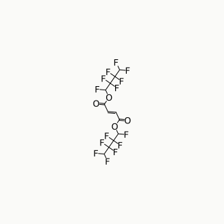 O=C(C=CC(=O)OC(F)C(F)(F)C(F)(F)C(F)F)OC(F)C(F)(F)C(F)(F)C(F)F